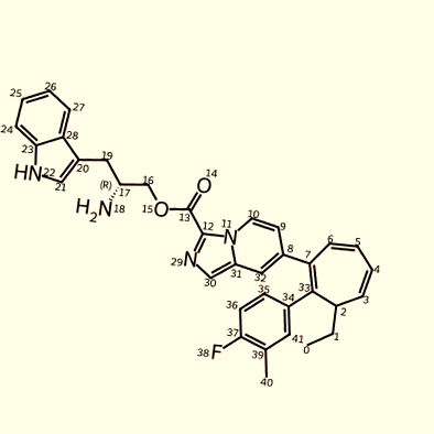 CCC1C=CC=CC(c2ccn3c(C(=O)OC[C@H](N)Cc4c[nH]c5ccccc45)ncc3c2)=C1c1ccc(F)c(C)c1